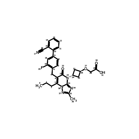 CCCc1c(Cc2ccc(-c3ccccc3C#N)cc2F)c(=O)n([C@H]2C[C@H](OCC(=O)O)C2)c2nc(C)nn12